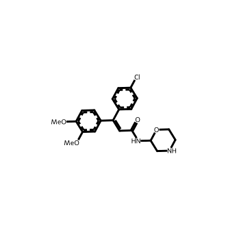 COc1ccc(C(=CC(=O)NC2CNCCO2)c2ccc(Cl)cc2)cc1OC